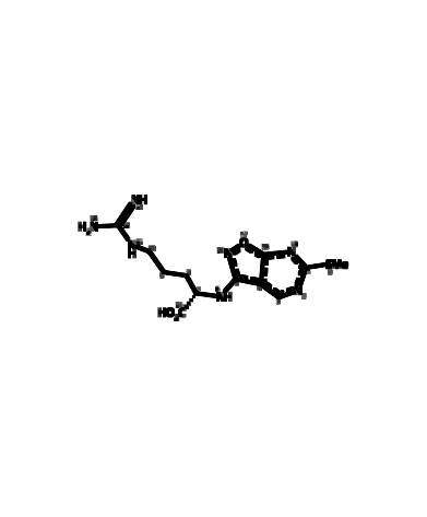 CSc1ncc2c(N[C@@H](CCCNC(=N)N)C(=O)O)noc2n1